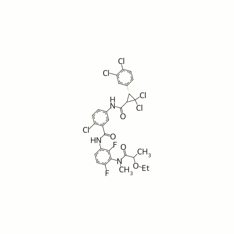 CCOC(C)C(=O)N(C)c1c(F)ccc(NC(=O)c2cc(NC(=O)C3[C@H](c4ccc(Cl)c(Cl)c4)C3(Cl)Cl)ccc2Cl)c1F